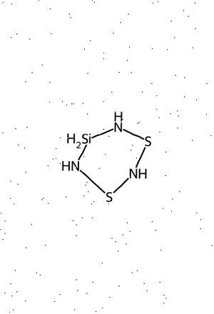 N1[SiH2]NSNS1